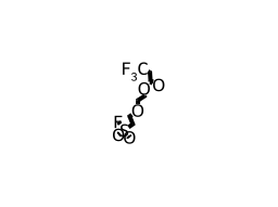 O=C(CC(F)(F)F)OCCOCCS(=O)(=O)F